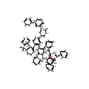 CC1(C)c2cccc3c4cc(-c5cccc(-c6cccc(-c7ccccc7)c6)c5)cc(-c5cc6c7ccccc7n(-c7ccccc7)c6c6c5c5ccccc5n6-c5nc(-c6ccccc6)nc(-c6ccccc6)n5)c4c4cccc1c4c23